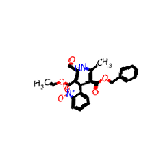 CCOC(=O)C1=C(C=O)NC(C)=C(C(=O)OCc2ccccc2)C1c1ccccc1[N+](=O)[O-]